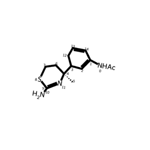 CC(=O)NC1=CC([C@]2(C)CCSC(N)=N2)CC=C1